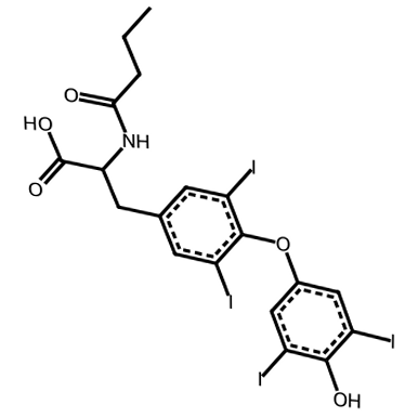 CCCC(=O)NC(Cc1cc(I)c(Oc2cc(I)c(O)c(I)c2)c(I)c1)C(=O)O